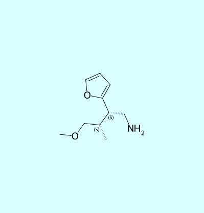 COC[C@@H](C)[C@@H](CN)c1ccco1